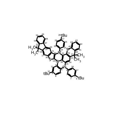 CC(C)(C)c1ccc(N2c3ccc(C(C)(C)C)cc3B3c4sc5cc6c(cc5c4N(c4ccc(C(C)(C)C)cc4)c4c5c(cc2c43)C(C)(C)c2ccccc2S5)-c2ccccc2C6(C)C)cc1